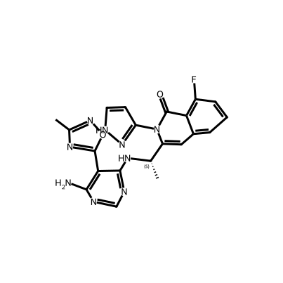 Cc1noc(-c2c(N)ncnc2N[C@@H](C)c2cc3cccc(F)c3c(=O)n2-c2cc[nH]n2)n1